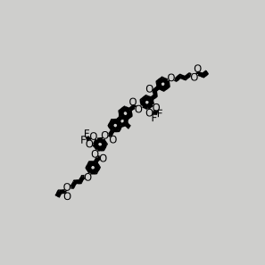 C=CC(=O)OCCCCOc1ccc(C(=O)Cc2ccc(OC(=O)c3ccc4c(c3)C(C)c3cc(C(=O)Oc5ccc(OC(=O)c6ccc(OCCCCOC(=O)C=C)cc6)c6c5OC(F)(F)O6)ccc3-4)c3c2OC(F)(F)O3)cc1